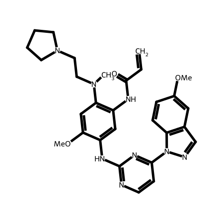 C=CC(=O)Nc1cc(Nc2nccc(-n3ncc4cc(OC)ccc43)n2)c(OC)cc1N(C)CCN1CCCC1